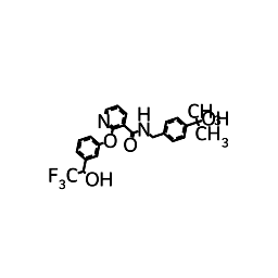 CC(C)(O)c1ccc(CNC(=O)c2cccnc2Oc2cccc(C(O)C(F)(F)F)c2)cc1